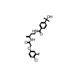 C=C(CCNC(=O)c1ccc(C(C)(C)O)cc1)NC(=O)COc1ccc(Cl)c(F)c1